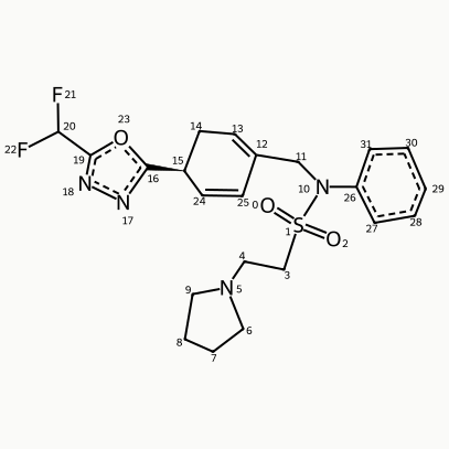 O=S(=O)(CCN1CCCC1)N(CC1=CC[C@H](c2nnc(C(F)F)o2)C=C1)c1ccccc1